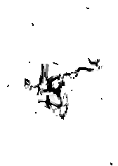 CC(C)(C)C1(c2cn(COCC[Si](C)(C)C)c3ncc(Br)nc23)OCCO1